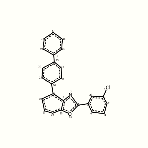 Clc1cccc(-c2nc3c(-c4ccc(-c5ccccc5)cc4)cccc3o2)c1